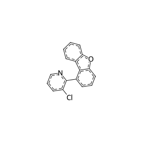 Clc1cccnc1-c1cccc2oc3ccccc3c12